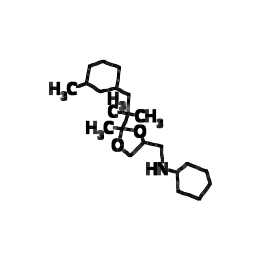 CC1CCCC(CC(C)(C)C2(C)OCC(CNC3CCCCC3)O2)C1